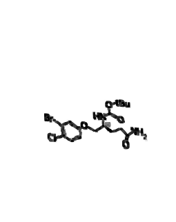 CC(C)(C)OC(=O)N[C@@H](CCC(N)=O)COc1ccc(Cl)c(Br)c1